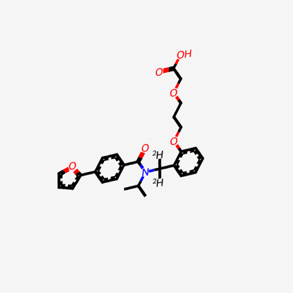 [2H]C([2H])(c1ccccc1OCCCOCC(=O)O)N(C(=O)c1ccc(-c2ccco2)cc1)C(C)C